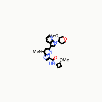 CNc1cc(-c2cn([C@@H]3CCOC[C@H]3OC)c3ncccc23)nn2c(C(=O)N[C@H]3CC[C@@H]3OC)cnc12